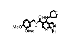 CCn1ncc2c(NC3CCOCC3)c(C(=O)NCc3ccc(OC)c(OC)c3)cnc21